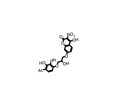 CCCc1c(OCC(O)COc2ccc3c(O)c([N+](=O)[O-])c(=O)oc3c2)ccc(C(C)=O)c1O